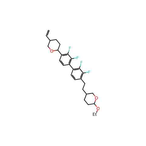 C=CC1CCC(c2ccc(-c3ccc(CCC4CCC(OCC)OC4)c(F)c3F)c(F)c2F)OC1